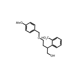 COc1ccc(COCCC(CO)c2ccccc2C(=O)O)cc1